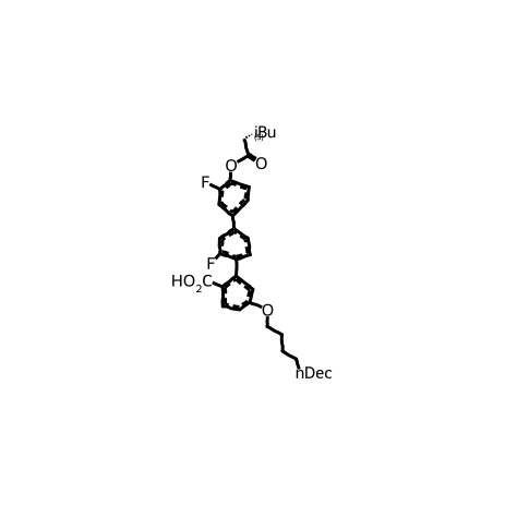 CCCCCCCCCCCCCCOc1ccc(C(=O)O)c(-c2ccc(-c3ccc(OC(=O)C[C@@H](C)CC)c(F)c3)cc2F)c1